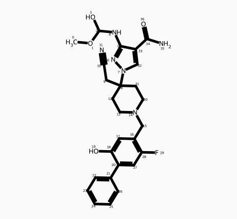 COC(O)Nc1nn(C2(CC#N)CCN(Cc3cc(O)c(-c4ccccc4)cc3F)CC2)cc1C(N)=O